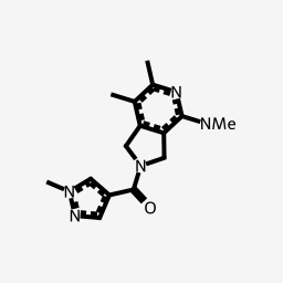 CNc1nc(C)c(C)c2c1CN(C(=O)c1cnn(C)c1)C2